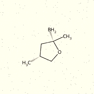 B[C@@]1(C)C[C@@H](C)CO1